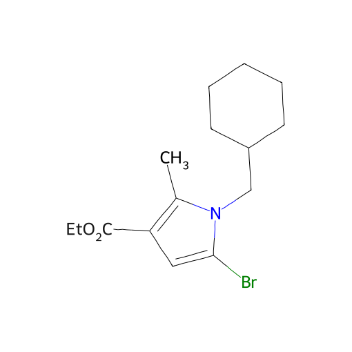 CCOC(=O)c1cc(Br)n(CC2CCCCC2)c1C